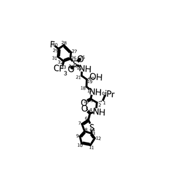 CC(C)C[C@H](NC(=O)c1cc2ccccc2s1)C(=O)NC[C@@H](O)CNS(=O)(=O)c1ccc(F)cc1C(F)(F)F